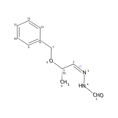 C[C@@H](/C=N\NC=O)OCc1ccccc1